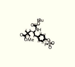 COC(=O)C(C)(C)C[C@H](Cc1ccc(OS(=O)(=O)F)cc1)NC(=O)OC(C)(C)C